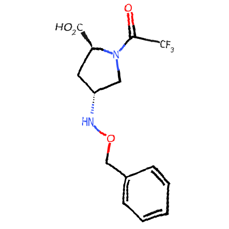 O=C(O)[C@@H]1C[C@@H](NOCc2ccccc2)CN1C(=O)C(F)(F)F